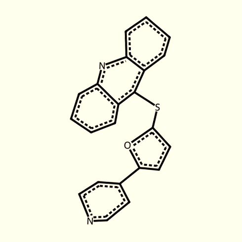 c1ccc2c(Sc3ccc(-c4ccncc4)o3)c3ccccc3nc2c1